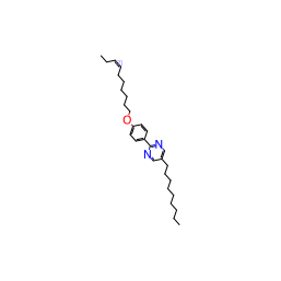 CC/C=C\CCCCCCOc1ccc(-c2ncc(CCCCCCCCC)cn2)cc1